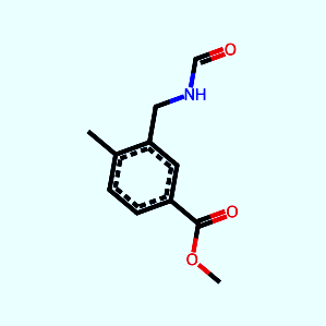 COC(=O)c1ccc(C)c(CNC=O)c1